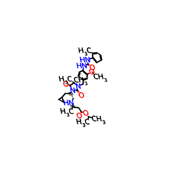 COc1cc(CN2C(=O)N([C@H](CN[C@H](C)CC(=O)OC(C)C)CC3CC3)C(=O)C2(C)C)ccc1NC(=O)Nc1ccccc1C